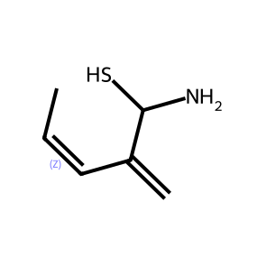 C=C(/C=C\C)C(N)S